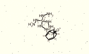 NN[Si](NN)(NN)NN.O=C1C2=CC=C1C=C2